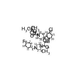 C[C@@H]1CN(Cc2ccc(F)cc2)CCN1C(=O)/C=C/c1ccc(Cl)cc1C1(O)CCN(C(=O)OC(C)(C)C)CC1